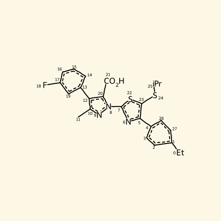 CCc1ccc(-c2nc(-n3nc(C)c(-c4cccc(F)c4)c3C(=O)O)sc2SC(C)C)cc1